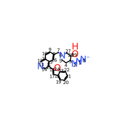 [N-]=[N+]=NC1CCN(Cc2ccc3cncc(-c4cc5ccccc5o4)c3c2)C[C@@H]1O